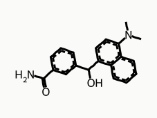 CN(C)c1ccc(C(O)c2cccc(C(N)=O)c2)c2ccccc12